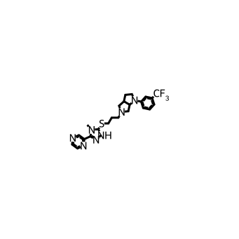 CN1C(c2cnccn2)=NNC1SCCCN1CC2CCN(c3cccc(C(F)(F)F)c3)C2C1